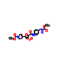 CC(C)(C)OC(=O)NCc1ccc(NC(=O)c2ccc(C3=CCN(C(=O)OC(C)(C)C)CC3)o2)cc1.O